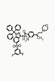 CN(CCN1CCOCC1)c1ccc(C(=O)Nc2nn(C(c3ccccc3)(c3ccccc3)c3ccccc3)c3ccc(S(=O)(=O)c4cc(F)cc(F)c4)cc23)c(N)c1